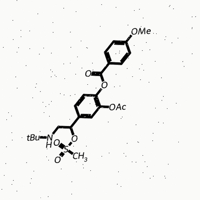 COc1ccc(C(=O)Oc2ccc(C(CNC(C)(C)C)OS(C)(=O)=O)cc2OC(C)=O)cc1